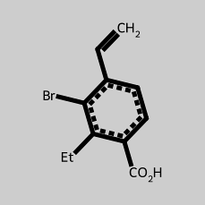 C=Cc1ccc(C(=O)O)c(CC)c1Br